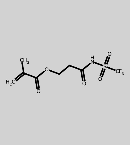 C=C(C)C(=O)OCCC(=O)NS(=O)(=O)C(F)(F)F